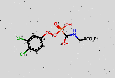 CCOC(=O)CNC(O)P(=O)(O)OOc1ccc(Cl)c(Cl)c1